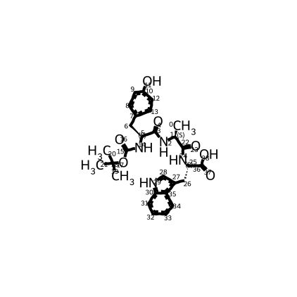 C[C@H](NC(=O)[C@H](Cc1ccc(O)cc1)NC(=O)OC(C)(C)C)C(=O)N[C@@H](Cc1c[nH]c2ccccc12)C(=O)O